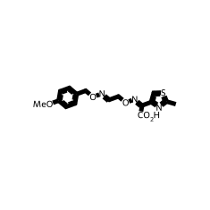 COc1ccc(CON=CCO/N=C(\C(=O)O)c2csc(C)n2)cc1